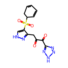 O=C(Cc1n[nH]cc1S(=O)(=O)C1C=CC=CC1)C(=O)c1nn[nH]n1